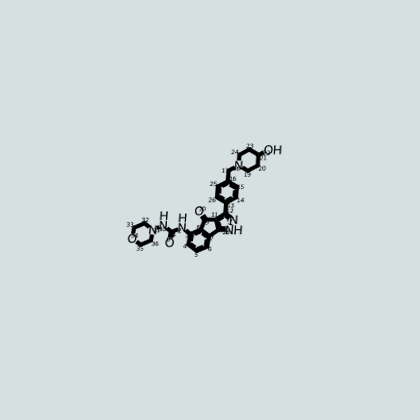 O=C(Nc1cccc2c1C(=O)c1c(-c3ccc(CN4CCC(O)CC4)cc3)n[nH]c1-2)NN1CCOCC1